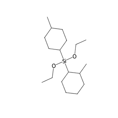 CCO[Si](OCC)(C1CCC(C)CC1)C1CCCCC1C